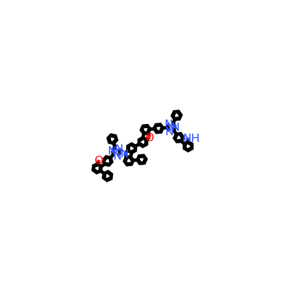 c1ccc(-c2nc(-c3ccc(-c4cccc5c4oc4ccc(-c6ccc7c(c6)c6c(-c8ccccc8)cccc6n7-c6nc(-c7ccccc7)nc(-c7ccc8c(c7)oc7cccc(-c9ccccc9)c78)n6)cc45)cc3)nc(-c3ccc4c(c3)[nH]c3ccccc34)n2)cc1